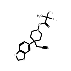 CC(C)(C)C(=O)ON1CCC(CC#N)(c2ccc3c(c2)OCO3)CC1